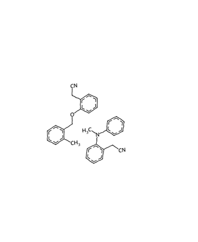 CN(c1ccccc1)c1ccccc1CC#N.Cc1ccccc1COc1ccccc1CC#N